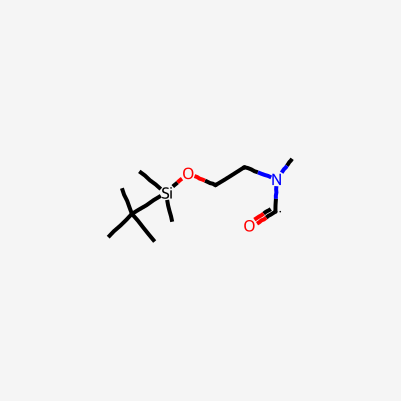 CN([C]=O)CCO[Si](C)(C)C(C)(C)C